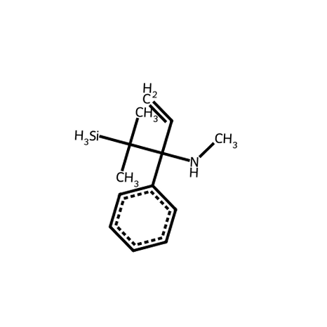 C=CC(NC)(c1ccccc1)C(C)(C)[SiH3]